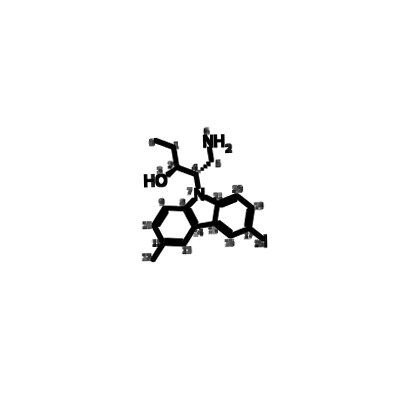 CC[C@H](O)[C@H](CN)n1c2ccc(C)cc2c2cc(I)ccc21